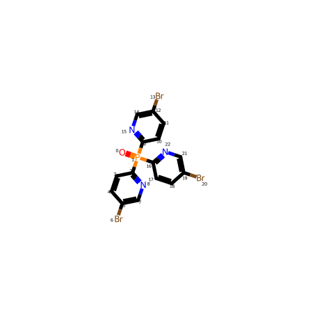 O=P(c1ccc(Br)cn1)(c1ccc(Br)cn1)c1ccc(Br)cn1